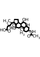 CC(=O)N[C@H]1CC[C@]2(C)C3C[C@H](O)[C@@]4(C)C(CC[C@@H]4[C@H](C)CCC(=O)O)C3[C@H](O)C[C@@H]2C1